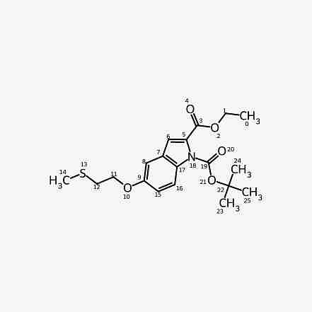 CCOC(=O)c1cc2cc(OCCSC)ccc2n1C(=O)OC(C)(C)C